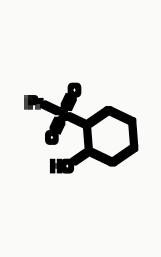 CC(C)S(=O)(=O)C1CCCCC1O